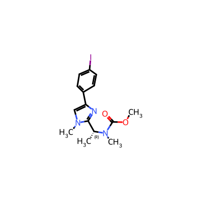 COC(=O)N(C)[C@H](C)c1nc(-c2ccc(I)cc2)cn1C